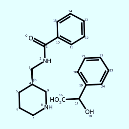 O=C(NC[C@@H]1CCCNC1)c1ccccc1.O=C(O)C(O)c1ccccc1